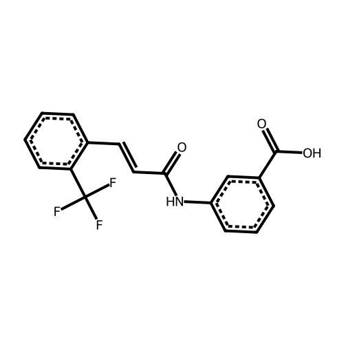 O=C(/C=C/c1ccccc1C(F)(F)F)Nc1cccc(C(=O)O)c1